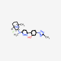 Cc1nnn(-c2ccc(-c3ccc(N(C)[C@@H]4C[C@@]5(C)CCC[C@H](N5)[C@H]4F)nn3)c(O)c2)n1